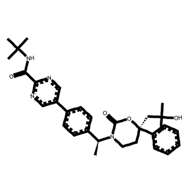 C[C@@H](c1ccc(-c2cnc(C(=O)NC(C)(C)C)nc2)cc1)N1CC[C@](CC(C)(C)O)(c2ccccc2)OC1=O